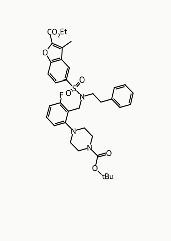 CCOC(=O)c1oc2ccc(S(=O)(=O)N(CCc3ccccc3)Cc3c(F)cccc3N3CCN(C(=O)OC(C)(C)C)CC3)cc2c1C